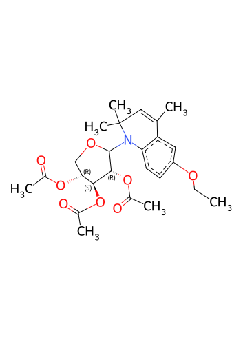 CCOc1ccc2c(c1)C(C)=CC(C)(C)N2C1OC[C@@H](OC(C)=O)[C@H](OC(C)=O)[C@H]1OC(C)=O